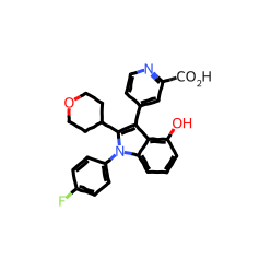 O=C(O)c1cc(-c2c(C3CCOCC3)n(-c3ccc(F)cc3)c3cccc(O)c23)ccn1